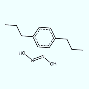 CCCc1ccc(CCC)cc1.ON=NO